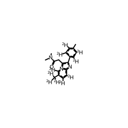 [2H]c1c([2H])c(-c2nc3c([2H])c([2H])c(C([2H])([2H])[2H])c([2H])n3c2CC(=O)N(C)C)c([2H])c([2H])c1C